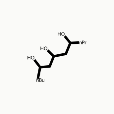 CCCCC(O)CC(O)CC(O)CCC